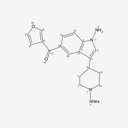 CCCCCCN1CCC(c2cn(N)c3ccc(C(=O)c4ccoc4)cc23)CC1